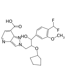 COc1cc(C(O)C(Cn2cc3nccc(C(=O)O)c3n2)OC2CCCC2)ccc1C(F)F